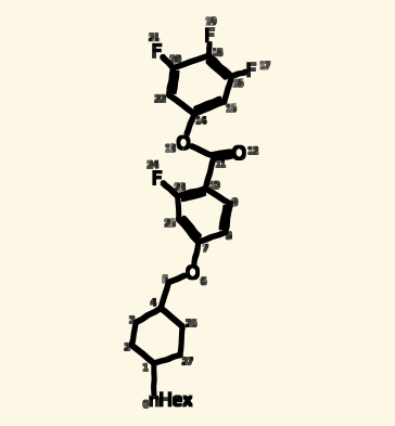 CCCCCCC1CCC(COc2ccc(C(=O)Oc3cc(F)c(F)c(F)c3)c(F)c2)CC1